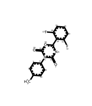 Cc1ccc(-n2c(=O)nc(-c3c(F)cccc3F)oc2=O)cc1